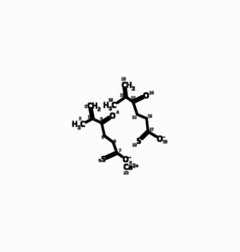 C=C(C)C(=O)CCC([O-])=S.C=C(C)C(=O)CCC([O-])=S.[Ca+2]